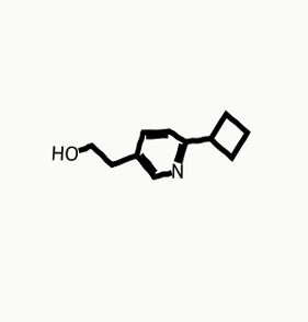 OCCc1ccc(C2CCC2)nc1